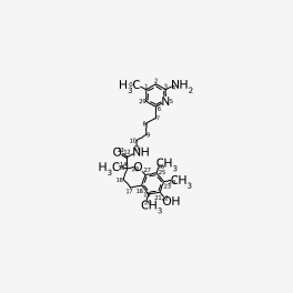 Cc1cc(N)nc(CCCCNC(=O)C2(C)CCc3c(C)c(O)c(C)c(C)c3O2)c1